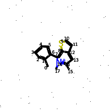 Cc1ccccc1-c1c2sccc2cc(C)[n+]1C